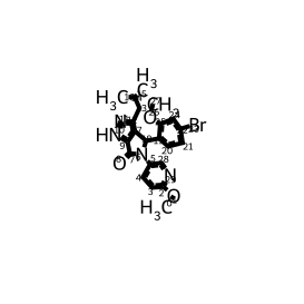 COc1ccc(N2C(=O)c3[nH]nc(CC(C)C)c3C2c2ccc(Br)cc2OC)cn1